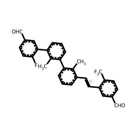 Cc1c(/C=C/c2cc(C=O)ccc2C(F)(F)F)cccc1-c1cccc(-c2cc(C=O)ccc2F)c1C